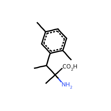 Cc1ccc(C)c(C(C)C(C)(N)C(=O)O)c1